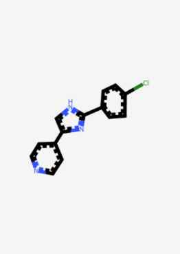 Clc1ccc(-c2nc(-c3ccncc3)c[nH]2)cc1